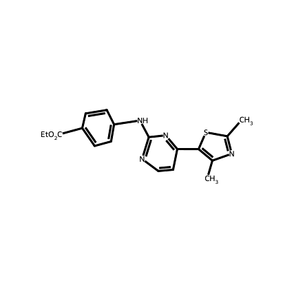 CCOC(=O)c1ccc(Nc2nccc(-c3sc(C)nc3C)n2)cc1